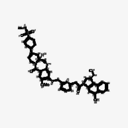 CNS(=O)(=O)c1ccc(C2=CCN3C(=O)c4cc(OC)c(OCc5cccc(CC(=O)N6C[C@@H](CCl)c7c6cc(O)c6ccccc76)n5)cc4N=C[C@@H]3C2)cc1